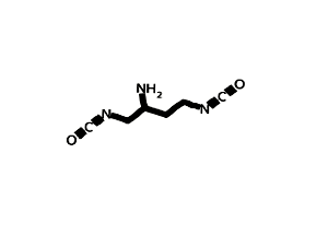 NC(CCN=C=O)CN=C=O